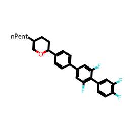 CCCCCC1CCC(c2ccc(-c3cc(F)c(-c4ccc(F)c(F)c4)c(F)c3)cc2)OC1